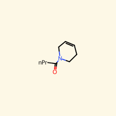 CCCC(=O)N1CC=CCC1